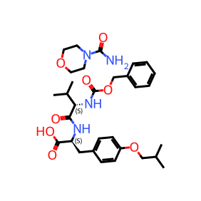 CC(C)COc1ccc(C[C@H](NC(=O)[C@@H](NC(=O)OCc2ccccc2)C(C)C)C(=O)O)cc1.NC(=O)N1CCOCC1